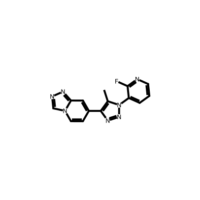 Cc1c(-c2ccn3cnnc3c2)nnn1-c1cccnc1F